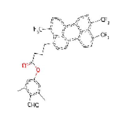 Cc1cc(OC(=O)CCCc2ccc3c4ccc(C(F)(F)F)c5c(C(F)(F)F)ccc(c6ccc(C(F)(F)F)c2c36)c54)cc(C)c1C=O